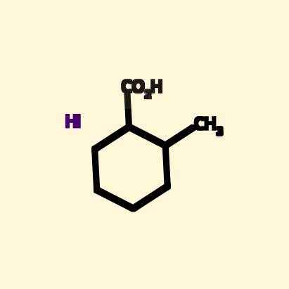 CC1CCCCC1C(=O)O.I